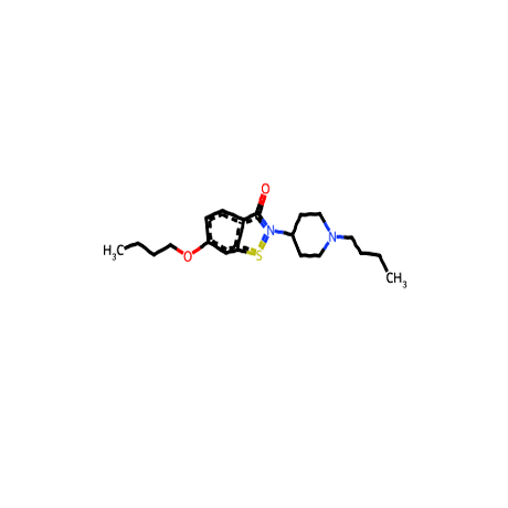 CCCCOc1ccc2c(=O)n(C3CCN(CCCC)CC3)sc2c1